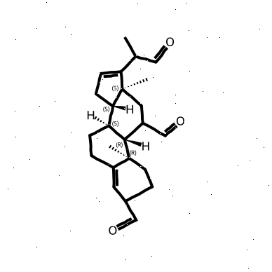 CC(C=O)C1=CC[C@H]2[C@@H]3CCC4=CC(C=O)CC[C@]4(C)[C@H]3C(C=O)C[C@]12C